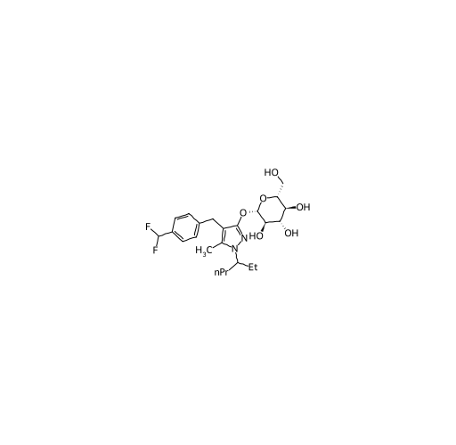 CCCC(CC)n1nc(O[C@@H]2O[C@H](CO)[C@@H](O)[C@H](O)[C@H]2O)c(Cc2ccc(C(F)F)cc2)c1C